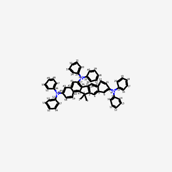 CC1(C)c2cc3cc(N(c4ccccc4)c4ccccc4)ccc3cc2-c2c(N(c3ccccc3)c3ccccc3)cc3cc(N(c4ccccc4)c4ccccc4)ccc3c21